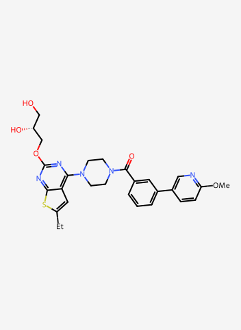 CCc1cc2c(N3CCN(C(=O)c4cccc(-c5ccc(OC)nc5)c4)CC3)nc(OC[C@H](O)CO)nc2s1